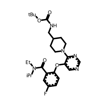 CCN(C(=O)c1cc(F)ccc1Oc1cncnc1N1CCC(CNC(=O)OC(C)(C)C)CC1)C(C)C